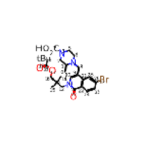 CC1CN(C(=O)O)CCN1Cc1cn(CC(C)(C)COC(=O)C(C)(C)C)c(=O)c2ccc(Br)cc12